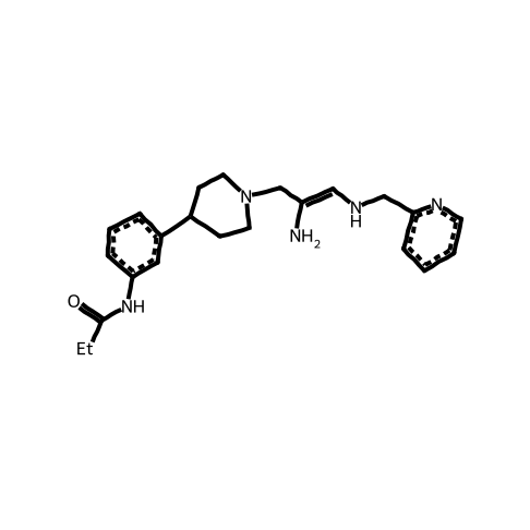 CCC(=O)Nc1cccc(C2CCN(C/C(N)=C/NCc3ccccn3)CC2)c1